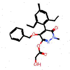 CCc1cc(C)cc(CC)c1-c1c(OCc2ccccc2)c(OC(=O)CO)nn(C)c1=O